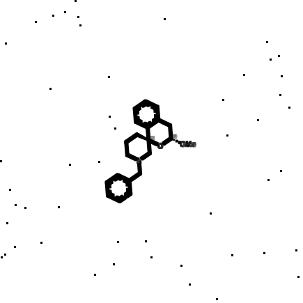 CO[C@H]1Cc2ccccc2[C@]2(CCCN(Cc3ccccc3)C2)O1